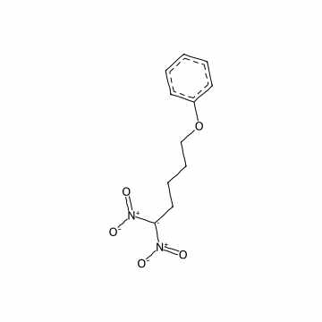 O=[N+]([O-])[C](CCCCOc1ccccc1)[N+](=O)[O-]